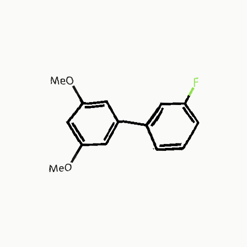 COc1cc(OC)cc(-c2[c]ccc(F)c2)c1